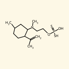 C=C(C)C1CCC(C)CC1N(C)CCOP(O)(=S)S